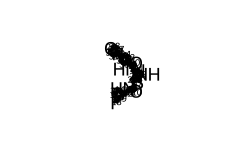 O=C(Nc1n[nH]c2sc(C(=O)NCc3cccc(F)c3)cc12)c1ccc(N2CCOCC2)cc1